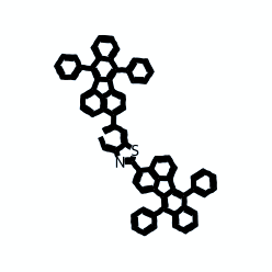 C=C(/C=c1/sc(-c2ccc3c4c(cccc24)-c2c-3c(-c3ccccc3)c3ccccc3c2-c2ccccc2)n/c1=C/C)c1ccc2c3c(cccc13)-c1c-2c(-c2ccccc2)c2ccccc2c1-c1ccccc1